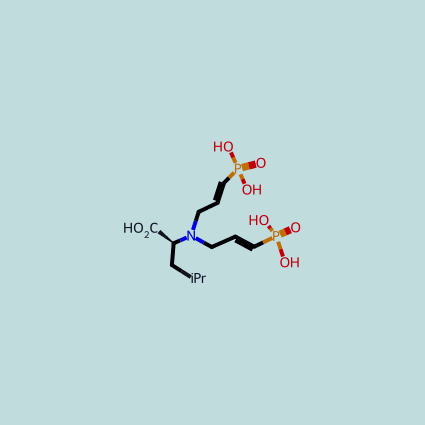 CC(C)C[C@@H](C(=O)O)N(CC=CP(=O)(O)O)CC=CP(=O)(O)O